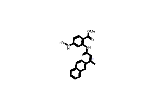 CCCNc1ccc(C(=O)OC)c(NC(=O)/C=C(/C)c2ccc3ccccc3c2)c1